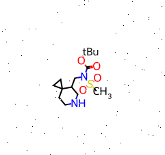 CC(C)(C)OC(=O)N(CC1CNCCC12CC2)S(C)(=O)=O